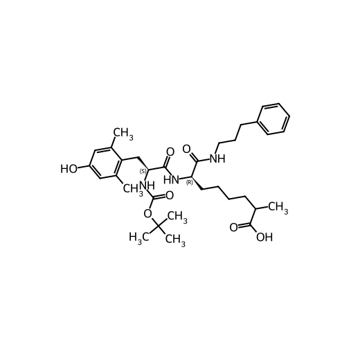 Cc1cc(O)cc(C)c1C[C@H](NC(=O)OC(C)(C)C)C(=O)N[C@H](CCCCC(C)C(=O)O)C(=O)NCCCc1ccccc1